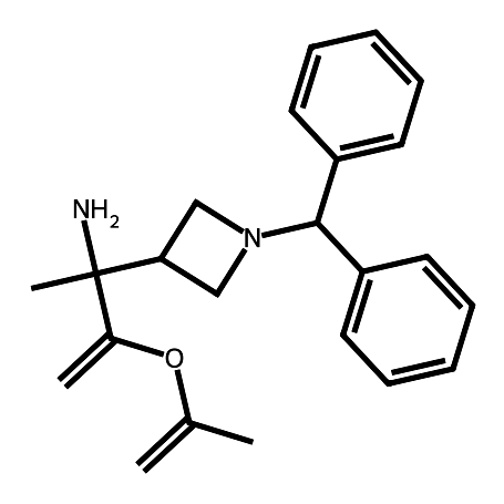 C=C(C)OC(=C)C(C)(N)C1CN(C(c2ccccc2)c2ccccc2)C1